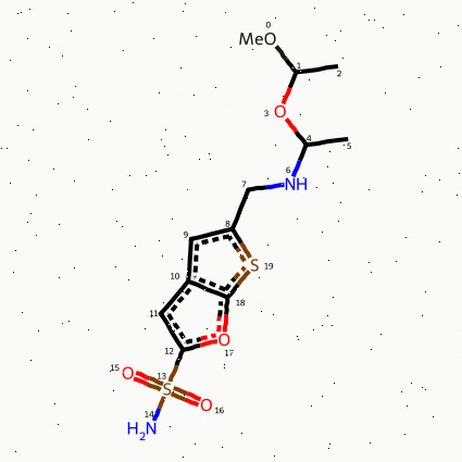 COC(C)OC(C)NCc1cc2cc(S(N)(=O)=O)oc2s1